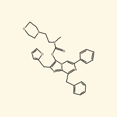 CN(CCN1CCOCC1)C(=O)Oc1c(Cc2ccco2)nc2c(Cc3ccccc3)nc(-c3ccccc3)cn12